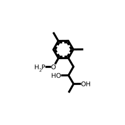 Cc1cc(C)c(CC(O)C(C)O)c(OP)c1